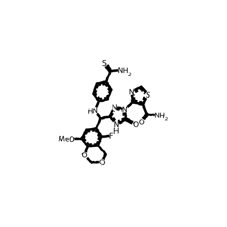 COc1cc(C(Nc2ccc(C(N)=S)cc2)c2nn(-c3ncsc3C(N)=O)c(=O)[nH]2)c(F)c2c1OCOC2